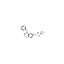 Cl.NC1CCc2ccc(CNS(=O)(=O)C3CCC3)cc2C1Cc1cccc(F)c1